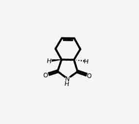 O=C1NC(=O)[C@@H]2CC=CC[C@@H]12